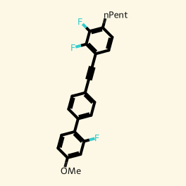 CCCCCc1ccc(C#Cc2ccc(-c3ccc(OC)cc3F)cc2)c(F)c1F